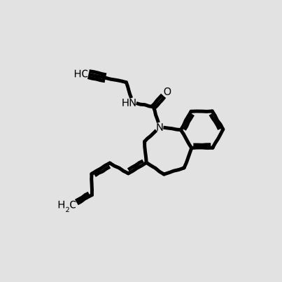 C#CCNC(=O)N1C/C(=C\C=C/C=C)CCc2ccccc21